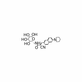 N#C/C(=C\c1ccc2cc(N3CCCCC3)ccc2c1)C(=O)NC[C@H]1OC(O)C(O)C(O)C1O